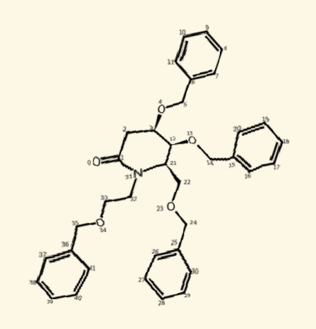 O=C1C[C@@H](OCc2ccccc2)[C@@H](OCc2ccccc2)[C@@H](COCc2ccccc2)N1CCOCc1ccccc1